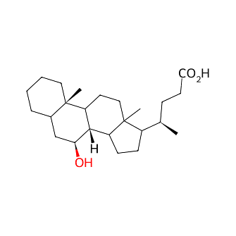 C[C@H](CCC(=O)O)C1CCC2[C@H]3C(CCC21C)[C@@]1(C)CCCCC1C[C@@H]3O